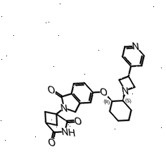 O=C1NC(=O)C2(N3Cc4cc(O[C@@H]5CCCC[C@@H]5N5CC(c6ccncc6)C5)ccc4C3=O)CC1C2